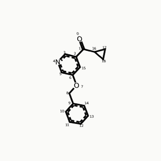 O=C(c1cncc(OCc2ccccc2)c1)C1CC1